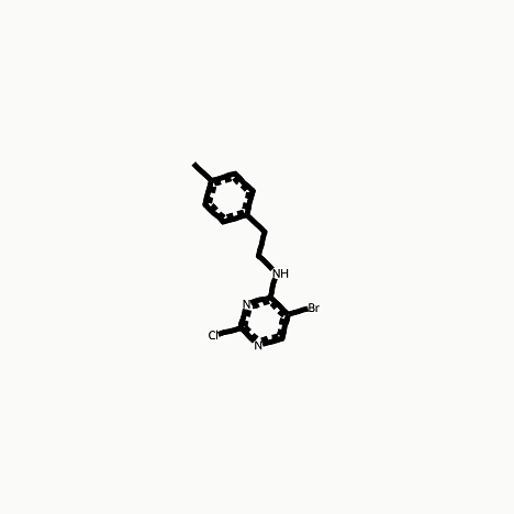 Cc1ccc(CCNc2nc(Cl)ncc2Br)cc1